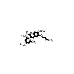 CCCCOc1cc(/C=C(\C(N)=O)N2C(C)=CC(C)C=C2C)ccc1OC